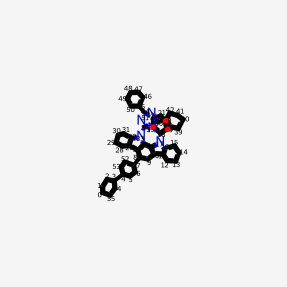 c1ccc(-c2ccc(-c3cc4c5ccccc5n(-c5ccccc5)c4c4c3c3ccccc3n4-c3nc(-c4ccccc4)nc(-c4ccccc4)n3)cc2)cc1